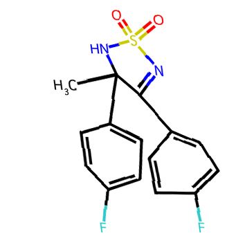 CC1(c2ccc(F)cc2)NS(=O)(=O)N=C1c1ccc(F)cc1